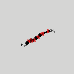 C=CC(=O)OCCCCOC(=O)Oc1ccc(C(=O)Oc2ccc(C(=O)O[C@H]3CO[C@H]4[C@@H]3OC[C@H]4OC(=O)c3ccc(C)cc3)cc2)cc1